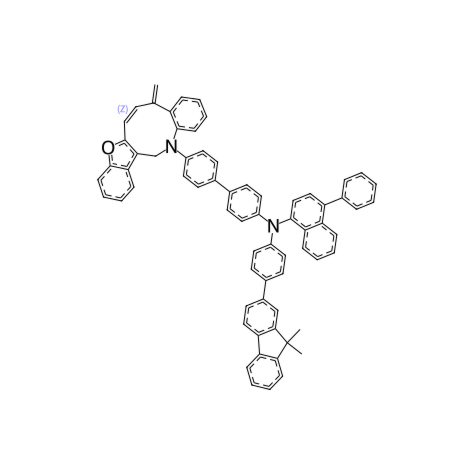 C=C1/C=C\c2oc3ccccc3c2CN(c2ccc(-c3ccc(N(c4ccc(-c5ccc6c(c5)C(C)(C)c5ccccc5-6)cc4)c4ccc(-c5ccccc5)c5ccccc45)cc3)cc2)c2ccccc21